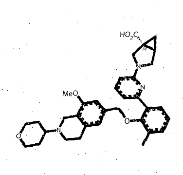 COc1cc(COc2c(C)cccc2-c2cccc(N3CC4C[C@]4(C(=O)O)C3)n2)cc2c1CN(C1CCOCC1)CC2